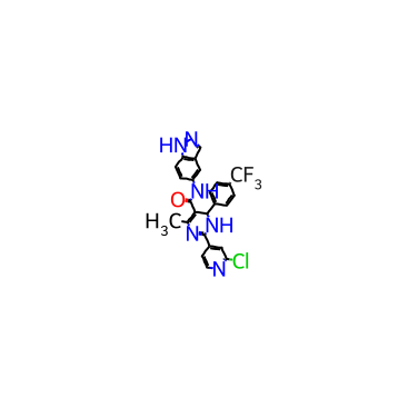 CC1=C(C(=O)Nc2ccc3[nH]ncc3c2)C(c2ccc(C(F)(F)F)cc2)NC(c2ccnc(Cl)c2)=N1